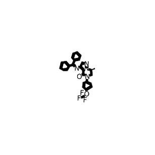 C[C@H]1CN(c2ccc(OC(F)(F)F)cc2)C(=O)c2c(N=C(c3ccccc3)c3ccccc3)cnn21